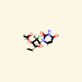 CC[C@H]1O[C@@H](n2ccc(=O)[nH]c2=O)[C@@](C)(F)C1OC(C)=O